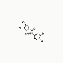 CCCn1c(C(=O)Nc2ccc(=O)n(CC)c2)cc(Cl)c1Cl